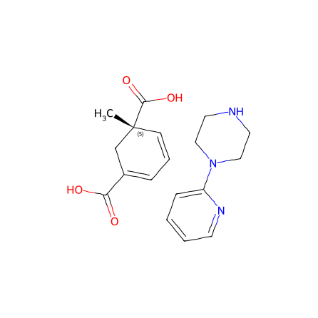 C[C@@]1(C(=O)O)C=CC=C(C(=O)O)C1.c1ccc(N2CCNCC2)nc1